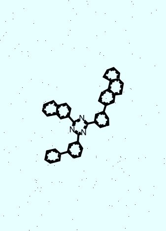 c1ccc(-c2cccc(-c3nc(-c4cccc(-c5ccc6c(ccc7ccccc76)c5)c4)nc(-c4ccc5ccccc5c4)n3)c2)cc1